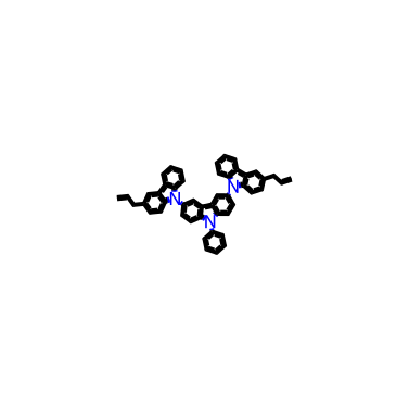 C=CCc1ccc2c(c1)c1ccccc1n2-c1ccc2c(c1)c1cc(-n3c4ccccc4c4cc(CC=C)ccc43)ccc1n2-c1ccccc1